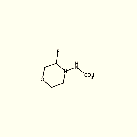 O=C(O)NN1CCOCC1F